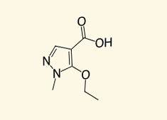 CCOc1c(C(=O)O)cnn1C